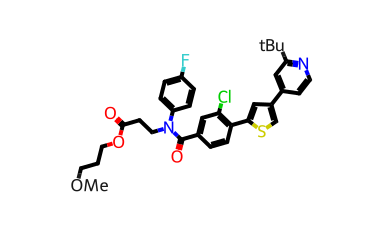 COCCCOC(=O)CCN(C(=O)c1ccc(-c2cc(-c3ccnc(C(C)(C)C)c3)cs2)c(Cl)c1)c1ccc(F)cc1